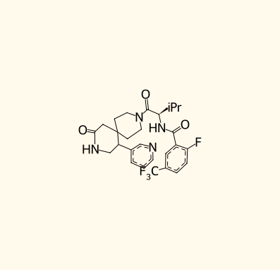 CC(C)[C@@H](NC(=O)c1cc(C(F)(F)F)ccc1F)C(=O)N1CCC2(CC1)CC(=O)NCC2c1cccnc1